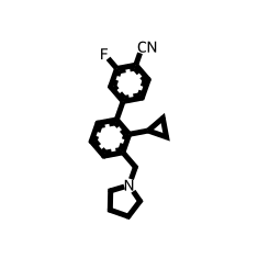 N#Cc1ccc(-c2cccc(CN3CCCC3)c2C2CC2)cc1F